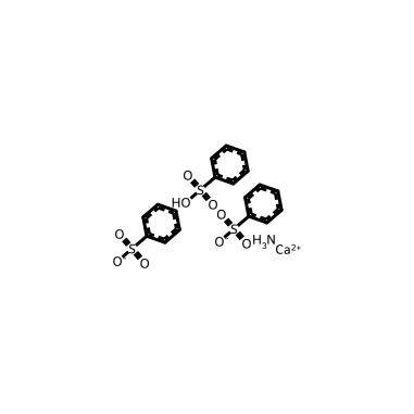 N.O=S(=O)(O)c1ccccc1.O=S(=O)([O-])c1ccccc1.O=S(=O)([O-])c1ccccc1.[Ca+2]